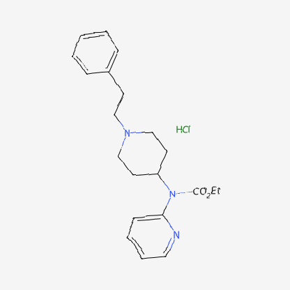 CCOC(=O)N(c1ccccn1)C1CCN(CCc2ccccc2)CC1.Cl